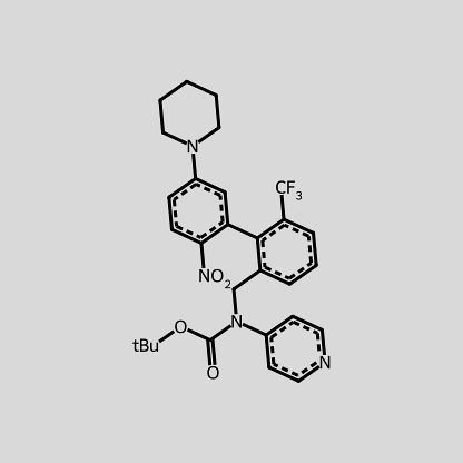 CC(C)(C)OC(=O)N(Cc1cccc(C(F)(F)F)c1-c1cc(N2CCCCC2)ccc1[N+](=O)[O-])c1ccncc1